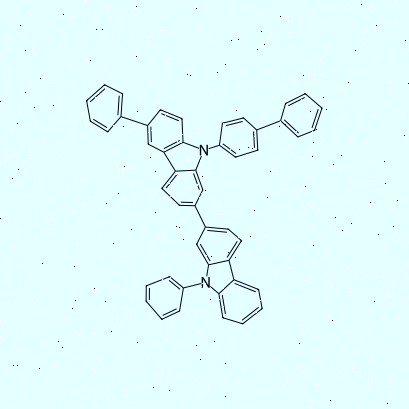 c1ccc(-c2ccc(-n3c4ccc(-c5ccccc5)cc4c4ccc(-c5ccc6c7ccccc7n(-c7ccccc7)c6c5)cc43)cc2)cc1